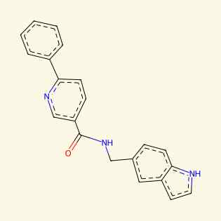 O=C(NCc1ccc2[nH]ccc2c1)c1ccc(-c2ccccc2)nc1